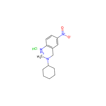 CN(Cc1cc([N+](=O)[O-])ccc1N)C1CCCCC1.Cl